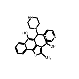 Cc1oc2c(c1C(=O)O)c(C(c1ccncc1)N1CCNCC1)c(O)c1ccccc12